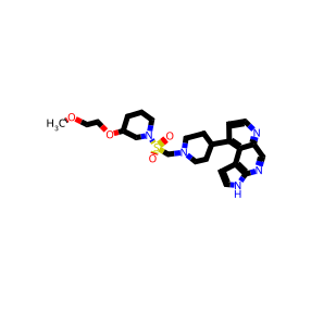 COCCOC1CCCN(S(=O)(=O)CN2CCC(c3ccnc4cnc5[nH]ccc5c34)CC2)C1